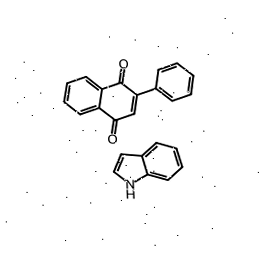 O=C1C=C(c2ccccc2)C(=O)c2ccccc21.c1ccc2[nH]ccc2c1